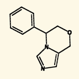 c1ccc(C2COCc3cncn32)cc1